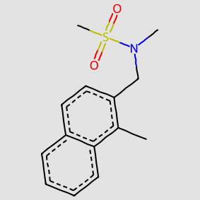 Cc1c(CN(C)S(C)(=O)=O)ccc2ccccc12